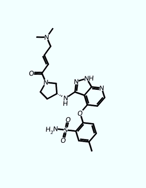 Cc1ccc(Oc2ccnc3[nH]nc(N[C@@H]4CCN(C(=O)/C=C/CN(C)C)C4)c23)c(S(N)(=O)=O)c1